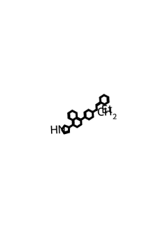 C=C(/C=C1/CCC=CC1CC)C1CC=C(C2=C3CCC=CC3=C(C3C=CNC3)CC2)CC1